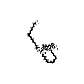 CCCCC/C=C\C/C=C\C/C=C\CCCCC(=O)O[C@H](COC(=O)CCCCCCC/C=C\CCCCCCCC)COP(=O)([O-])OCC[N+](C)(C)C